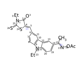 CCN1C(=O)/C(=C/c2ccc3c(c2)c2cc(/C(C)=N/OC(C)=O)ccc2n3CC)SC1=S